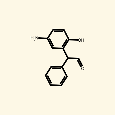 Nc1ccc(O)c(C(C=O)c2ccccc2)c1